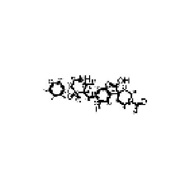 CC(=O)N1CCC(C(=O)O)(c2ccc(CC3[C@H](C)NC[C@@H](c4ccccc4)S3(=O)=O)c(F)c2)CC1